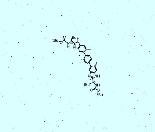 CC(C)(C)OC(=O)N[C@H](c1nc2cc(-c3ccc(-c4cc5nc([C@@H](NC(=O)OC(C)(C)C)C(C)(C)C)[nH]c5cc4F)cc3)c(F)cc2[nH]1)C(C)(C)C